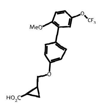 COc1ccc(OC(F)(F)F)cc1-c1ccc(OCC2CC2C(=O)O)cc1